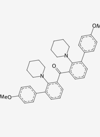 COc1ccc(-c2cccc(C(=O)c3cccc(-c4ccc(OC)cc4)c3N3CCCCC3)c2N2CCCCC2)cc1